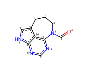 O=CN1CCCc2c[nH]c3ncnc1c23